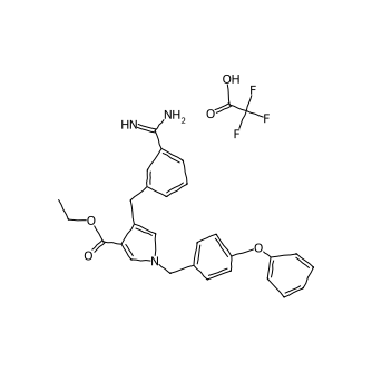 CCOC(=O)c1cn(Cc2ccc(Oc3ccccc3)cc2)cc1Cc1cccc(C(=N)N)c1.O=C(O)C(F)(F)F